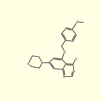 COc1ccc(COc2cc(N3CCOCC3)cc3ncnc(Cl)c23)cc1